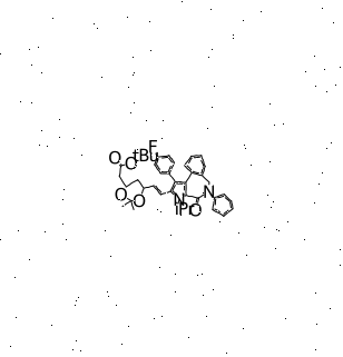 CC(C)n1c(C=CC2CC(CC(=O)OC(C)(C)C)OC(C)(C)O2)c(-c2ccc(F)cc2)c2c1C(=O)N(c1ccccc1)Cc1ccccc1-2